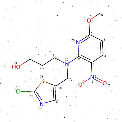 COc1ccc([N+](=O)[O-])c(N(CCCO)Cc2cnc(Cl)s2)n1